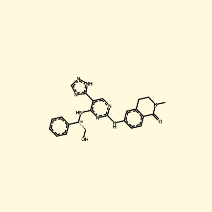 CN1CCc2cc(Nc3ncc(-c4ncn[nH]4)c(N[C@H](CO)c4ccccc4)n3)ccc2C1=O